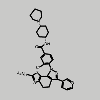 CC(=O)Nc1nc2c(s1)-c1c(c(-c3cccnc3)nn1-c1ccc(C(=O)N[C@H]3CC[C@@H](N4CCCCC4)CC3)cc1Cl)CC2